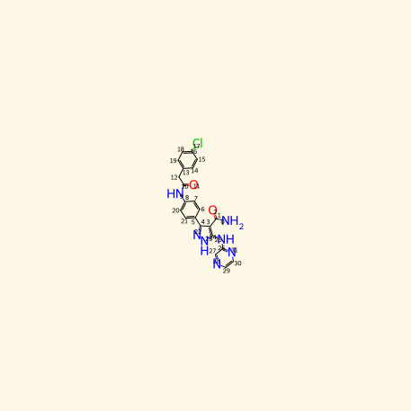 NC(=O)c1c(-c2ccc(NC(=O)Cc3ccc(Cl)cc3)cc2)n[nH]c1Nc1cnccn1